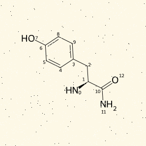 [NH][C@@H](Cc1ccc(O)cc1)C(N)=O